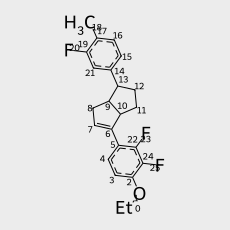 CCOc1ccc(C2=CCC3C2CCC3c2ccc(C)c(F)c2)c(F)c1F